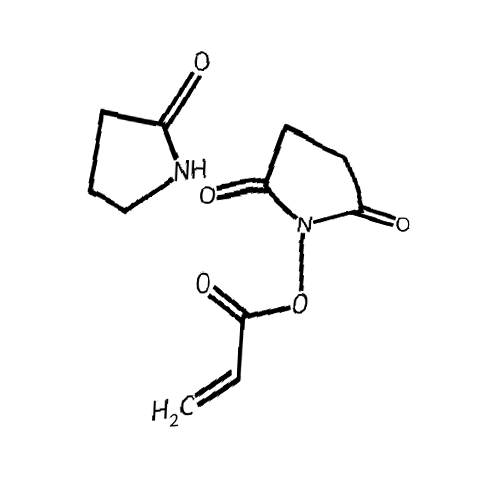 C=CC(=O)ON1C(=O)CCC1=O.O=C1CCCN1